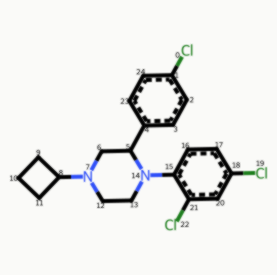 Clc1ccc(C2CN(C3CCC3)CCN2c2ccc(Cl)cc2Cl)cc1